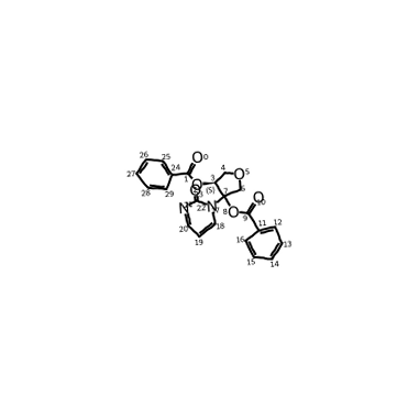 O=C(O[C@H]1COCC1(OC(=O)c1ccccc1)n1cccnc1=O)c1ccccc1